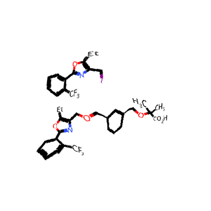 CCc1oc(-c2ccccc2C(F)(F)F)nc1CI.CCc1oc(-c2ccccc2C(F)(F)F)nc1COC[C@@H]1CCC[C@H](COC(C)(C)C(=O)O)C1